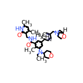 C=C(/C=C\C(=C/C)CN1C[C@@H]2CC1CO2)c1cc(C(=O)NCc2c(C)cc(C)[nH]c2=O)c(C)c(N(CC)C2CCOCC2)c1